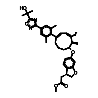 C=C1/C(F)=C\C=C(\c2c(C)cc(-c3noc(C(C)(C)O)n3)cc2C)CCC[C@H]1Oc1ccc2c(c1)OC[C@H]2CC(=O)OC